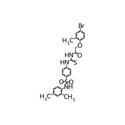 Cc1ccc(NS(=O)(=O)c2ccc(NC(=S)NC(=O)COc3ccc(Br)cc3C)cc2)c(C)c1